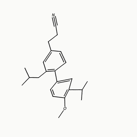 COc1ccc(-c2ccc(CCC#N)cc2CC(C)C)cc1C(C)C